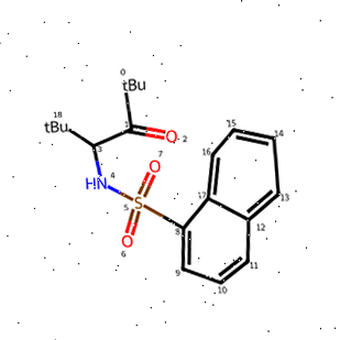 CC(C)(C)C(=O)C(NS(=O)(=O)c1cccc2ccccc12)C(C)(C)C